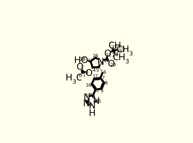 CC(=O)O[C@H]1[C@@H](Cc2ccc(-c3nn[nH]n3)cc2)N(C(=O)OC(C)(C)C)C[C@@H]1O